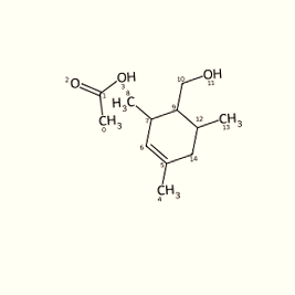 CC(=O)O.CC1=CC(C)C(CO)C(C)C1